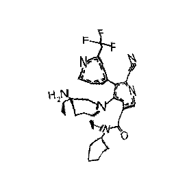 C[C@]1(N)CCN(c2c(C(=O)NC3CCCC3)cnc(C#N)c2-c2ccnc(C(F)(F)F)c2)C1